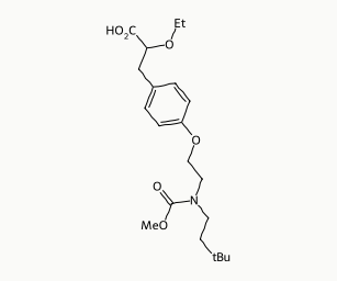 CCOC(Cc1ccc(OCCN(CCC(C)(C)C)C(=O)OC)cc1)C(=O)O